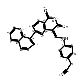 N#CCc1ccc(NC=C2C(=O)NC(=O)c3ccc(-c4cccc5cccnc45)cc32)cc1